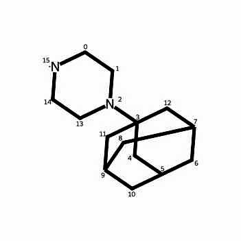 C1CN(C23CC4CC(CC(C4)C2)C3)CC[N]1